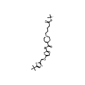 CC(C)(C)OC(=O)CCCCN1CCC(C(=O)Nc2ncc(SCc3ncc(C(C)(C)C)o3)s2)CC1